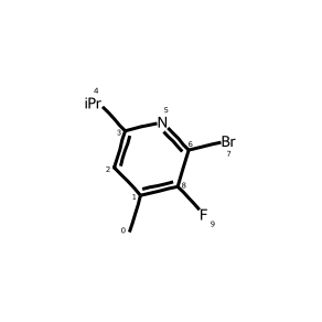 Cc1cc(C(C)C)nc(Br)c1F